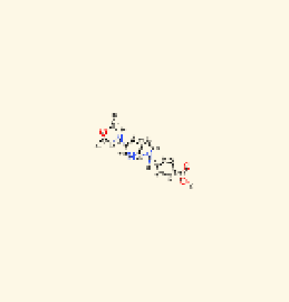 COC(=O)c1ccc(Cn2ccc3cc(N4CC(C)OC(C)C4)cnc32)cc1